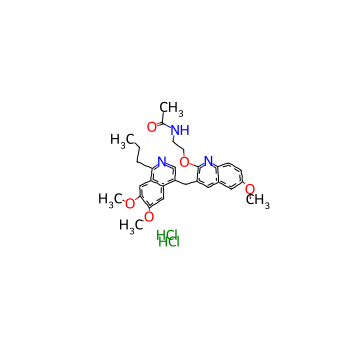 CCCc1ncc(Cc2cc3cc(OC)ccc3nc2OCCNC(C)=O)c2cc(OC)c(OC)cc12.Cl.Cl